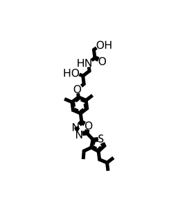 CCc1c(CC(C)C)csc1-c1nnc(-c2cc(C)c(OCC(O)CNC(=O)CO)c(C)c2)o1